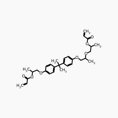 C=CC(=O)OC(C)COc1ccc(C(C)(C)c2ccc(OCC(C)OCC(C)OC(=O)C=C)cc2)cc1